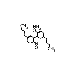 CCCCC1=CC(C2CC(CCCC)=CC=C2ON)=C(N=O)CC1